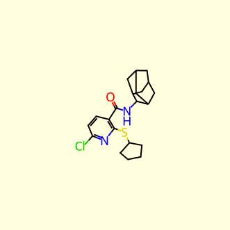 O=C(NC1C2CC3CC(C2)CC1C3)c1ccc(Cl)nc1SC1CCCC1